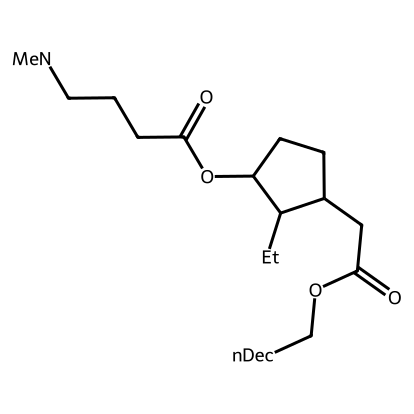 CCCCCCCCCCCOC(=O)CC1CCC(OC(=O)CCCNC)C1CC